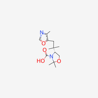 Cc1ncoc1CC(C)(C)[C@@H]1COC(C)(C)N1C(=O)O